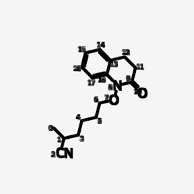 CC(C#N)CCCCON1C(=O)CCc2ccccc21